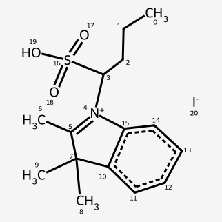 CCCC([N+]1=C(C)C(C)(C)c2ccccc21)S(=O)(=O)O.[I-]